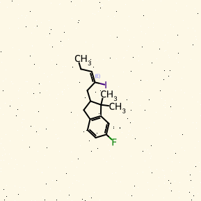 CC/C=C(/I)CC1Cc2ccc(F)cc2C1(C)C